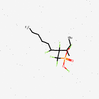 CC(CC(C)(C)C)C(F)(C(F)CCCCC(F)(F)F)C(F)(F)P(=O)(OF)OF